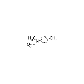 Cc1ccc(N(C)CC2CO2)cc1